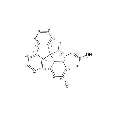 C/C(O)=C\C=C(/C)C1(c2ccc(O)cc2)c2ccccc2-c2ccccc21